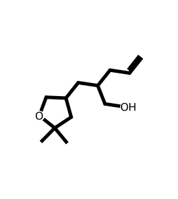 C=CCC(CO)CC1COC(C)(C)C1